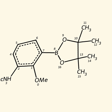 COc1c(NC(C)=O)cccc1B1OC(C)(C)C(C)(C)O1